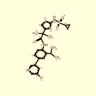 CC(C)c1cc(-c2cncc(Cl)c2)ccc1NC(=O)C(C)(C)c1csc(NS(=O)(=O)C2CC2)n1